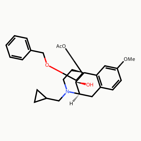 COc1ccc2c(c1)[C@]13CCN(CC4CC4)[C@H](C2)[C@]1(O)CC(OCc1ccccc1)C(OC(C)=O)C3